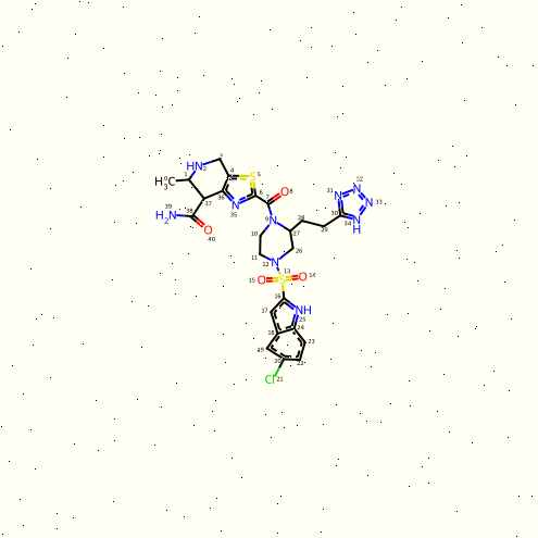 CC1NCc2sc(C(=O)N3CCN(S(=O)(=O)c4cc5cc(Cl)ccc5[nH]4)CC3CCc3nnn[nH]3)nc2C1C(N)=O